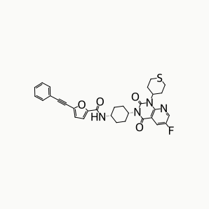 O=C(N[C@H]1CC[C@@H](n2c(=O)c3cc(F)cnc3n(C3CCSCC3)c2=O)CC1)c1ccc(C#Cc2ccccc2)o1